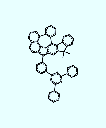 CC1(C)c2ccccc2-c2c1cc1c3c2-c2ccccc2-c2cccc4ccc(c3c24)n1-c1cccc(-c2nc(-c3ccccc3)nc(-c3ccccc3)n2)c1